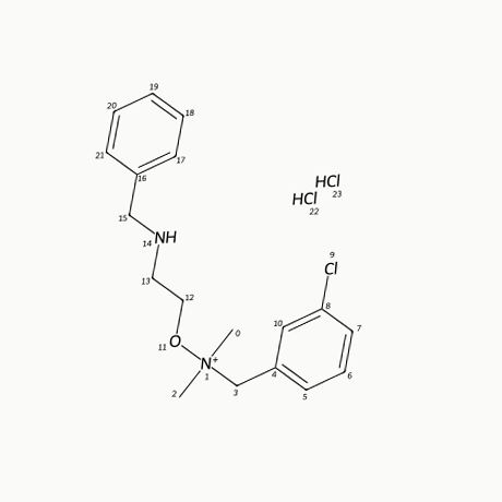 C[N+](C)(Cc1cccc(Cl)c1)OCCNCc1ccccc1.Cl.Cl